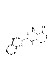 CC1CCCC(NC(=O)c2cnc3ccccc3n2)C1C